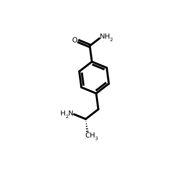 C[C@H](N)Cc1ccc(C(N)=O)cc1